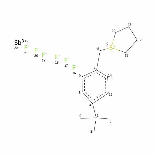 CC(C)(C)c1ccc(C[S+]2CCCC2)cc1.[F-].[F-].[F-].[F-].[F-].[F-].[Sb+3]